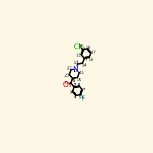 O=C(c1ccc(F)cc1)C1CCN(CCc2cccc(Cl)c2)CC1